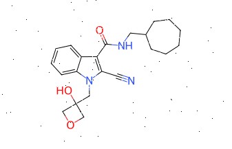 N#Cc1c(C(=O)NCC2CCCCCC2)c2ccccc2n1CC1(O)COC1